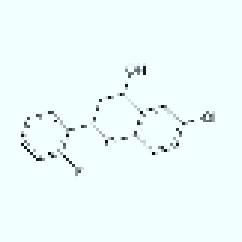 Oc1ccc2c(c1)C(O)CC(c1ccccc1F)O2